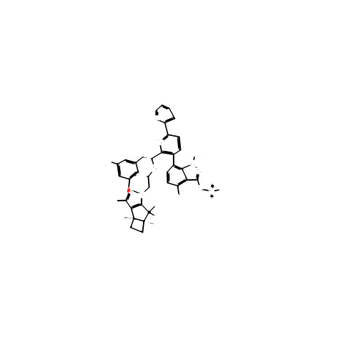 Cn1nc(NS(C)(=O)=O)c2c(Cl)ccc(-c3ccc(-c4ccccn4)nc3[C@H](Cc3cc(F)cc(F)c3)NC(O)Cn3nc(C(F)(F)F)c4c3C(F)(F)[C@@H]3CC[C@H]43)c21